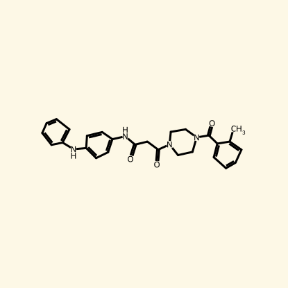 Cc1ccccc1C(=O)N1CCN(C(=O)CC(=O)Nc2ccc(Nc3ccccc3)cc2)CC1